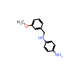 COc1cccc(CNc2ccc(N)cc2)c1